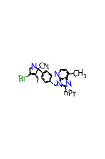 CCCc1nc2c(C)ccnc2n1Cc1ccc(C2(C#N)N=CC(Br)=C2I)cc1